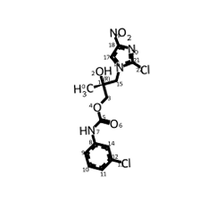 C[C@](O)(COC(=O)Nc1cccc(Cl)c1)Cn1cc([N+](=O)[O-])nc1Cl